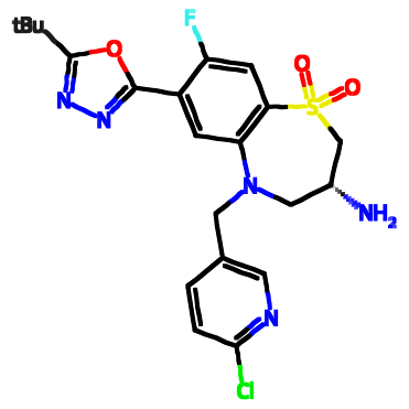 CC(C)(C)c1nnc(-c2cc3c(cc2F)S(=O)(=O)C[C@H](N)CN3Cc2ccc(Cl)nc2)o1